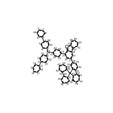 c1ccc(-c2ccc(N(c3ccc(-c4ccccc4)cc3)c3ccc(-c4cc(-c5ccc6c(c5)C5(c7ccccc7-c7ccccc75)c5ccccc5-6)cc5c4oc4ccccc45)cc3)cc2)cc1